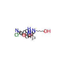 CC1(C)[C@H](NC(=O)c2ccc(CCCCCCO)nc2)C(C)(C)[C@H]1Oc1ccc(C#N)c(Cl)c1